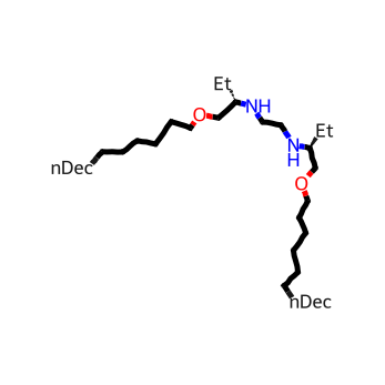 CCCCCCCCCCCCCCCCOC[C@H](CC)NCCN[C@@H](CC)COCCCCCCCCCCCCCCCC